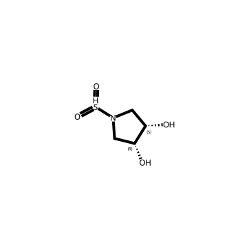 O=[SH](=O)N1C[C@@H](O)[C@@H](O)C1